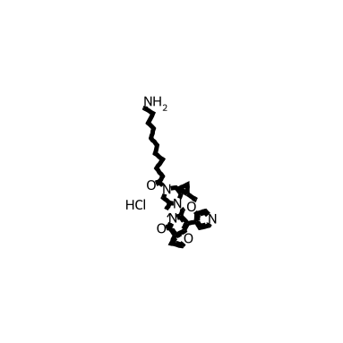 CC1CN(C(=O)CCCCCCCCCCN)CCN1Cc1c(-c2ccncc2OCC2CC2)c2occc2c(=O)n1C.Cl